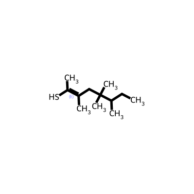 CCC(C)C(C)(C)C/C(C)=C(\C)S